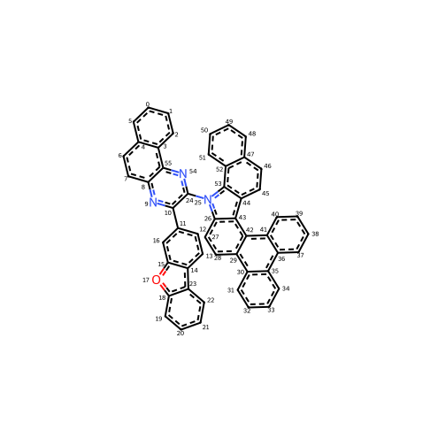 c1ccc2c(c1)ccc1nc(-c3ccc4c(c3)oc3ccccc34)c(-n3c4ccc5c6ccccc6c6ccccc6c5c4c4ccc5ccccc5c43)nc12